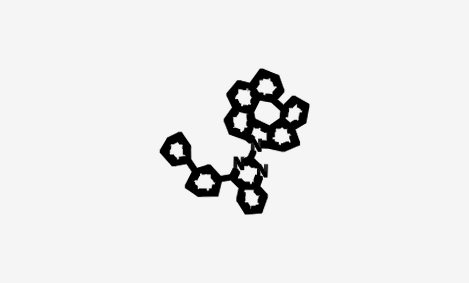 c1ccc(-c2cccc(-c3nc(-n4c5ccc6cccc7c6c5c5c6c(ccc8cccc-7c86)ccc54)nc4ccccc34)c2)cc1